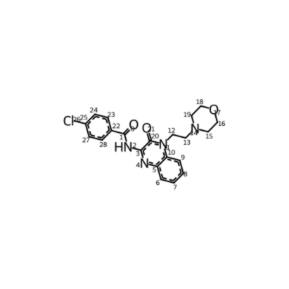 O=C(Nc1nc2ccccc2n(CCN2CCOCC2)c1=O)c1ccc(Cl)cc1